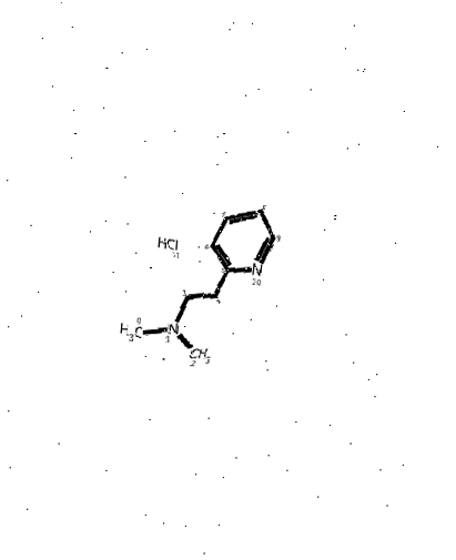 CN(C)CCc1ccccn1.Cl